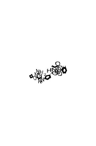 CC(N[P@](=O)(OC[C@@H]1C=C[C@H](n2cnc3c(OC4CCC4)nc(N)nc32)C1)Oc1ccccc1)C(=O)O